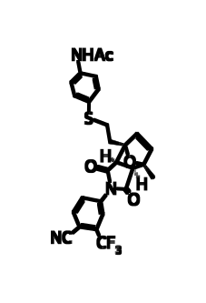 CC(=O)Nc1ccc(SCC[C@@]23C=C[C@@](C)(O2)[C@H]2C(=O)N(c4ccc(C#N)c(C(F)(F)F)c4)C(=O)[C@H]23)cc1